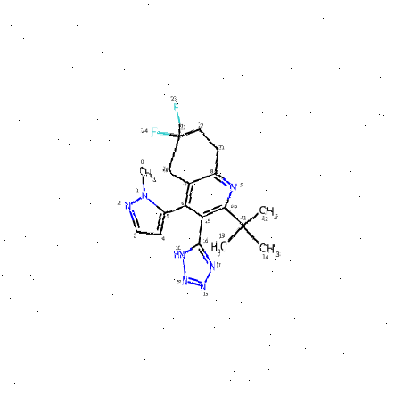 Cn1nccc1-c1c2c(nc(C(C)(C)C)c1-c1nnn[nH]1)CCC(F)(F)C2